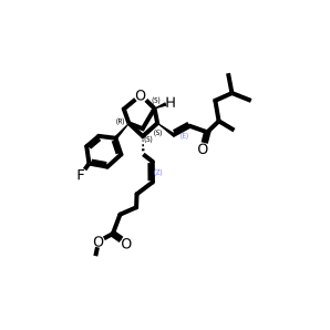 COC(=O)CCC/C=C\C[C@H]1[C@H](/C=C/C(=O)C(C)CC(C)C)[C@@H]2C[C@@]1(c1ccc(F)cc1)CO2